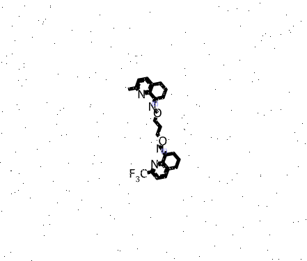 Cc1ccc2c(n1)/C(=N/OCCCO/N=C1\CCCc3ccc(C(F)(F)F)nc31)CCC2